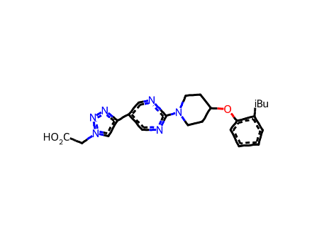 CCC(C)c1ccccc1OC1CCN(c2ncc(-c3cn(CC(=O)O)nn3)cn2)CC1